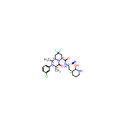 CC[C@H]1CC(F)(F)C[C@@H](C(=O)N[C@H](C#N)C[C@@H]2CCCNC2O)N1C(=O)[C@@H](C)Nc1cccc(Cl)c1